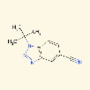 CC(C)(C)n1nnc2cc(C#N)ccc21